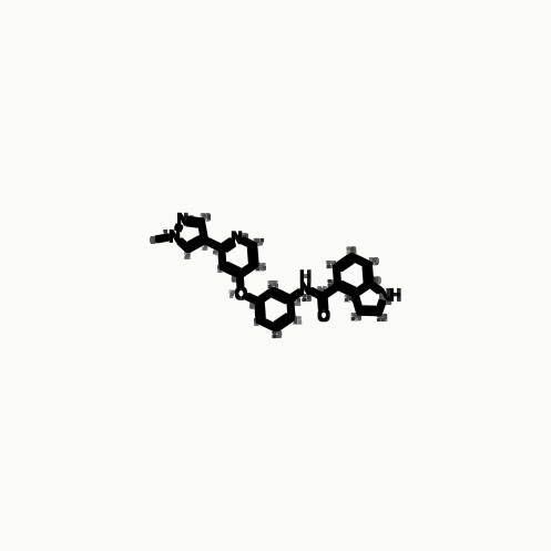 Cn1cc(-c2cc(Oc3cccc(NC(=O)c4cccc5[nH]ccc45)c3)ccn2)cn1